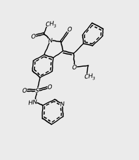 CCOC(=C1C(=O)N(C(C)=O)c2ccc(S(=O)(=O)Nc3cccnc3)cc21)c1ccccc1